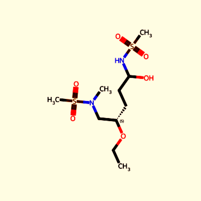 CCO[C@@H](CCC(O)NS(C)(=O)=O)CN(C)S(C)(=O)=O